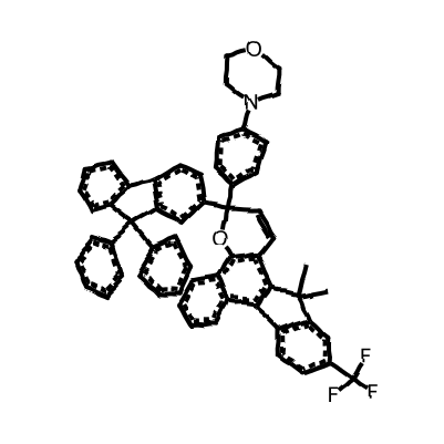 CC1(C)c2cc(C(F)(F)F)ccc2-c2c1c1c(c3ccccc23)OC(c2ccc(N3CCOCC3)cc2)(c2ccc3c(c2)C(c2ccccc2)(c2ccccc2)c2ccccc2-3)C=C1